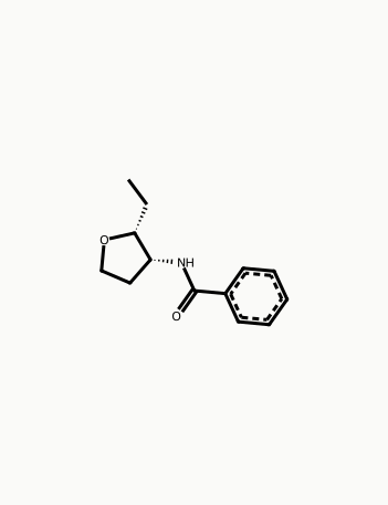 CC[C@H]1OCC[C@H]1NC(=O)c1ccccc1